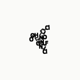 O=C1CN(c2ncc(Cl)cc2F)C(=O)[C@]2(C[C@@H](C(=O)O)C2)N1Cc1ccc(Cl)cc1